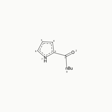 CCCCC(=O)c1ccc[nH]1